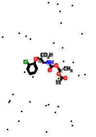 CCC(=O)O[C@@H](C)OC(=O)NC[C@H](Oc1ccccc1Cl)C(=O)O